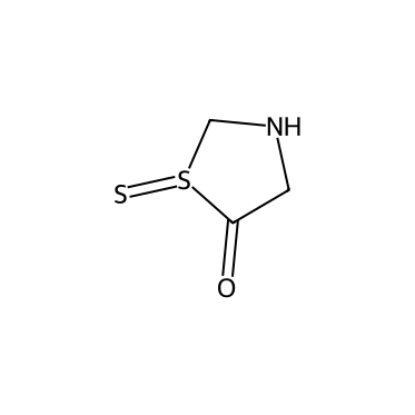 O=C1CNCS1=S